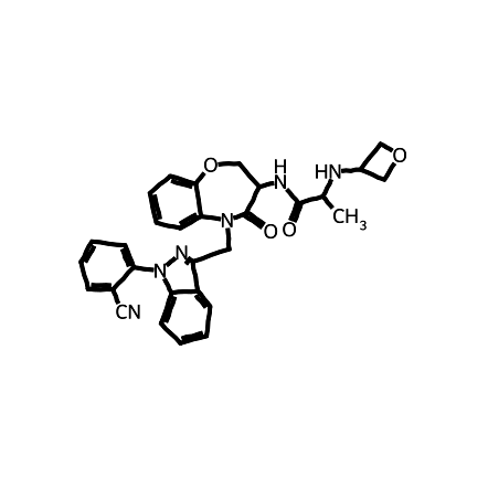 CC(NC1COC1)C(=O)NC1COc2ccccc2N(Cc2nn(-c3ccccc3C#N)c3ccccc23)C1=O